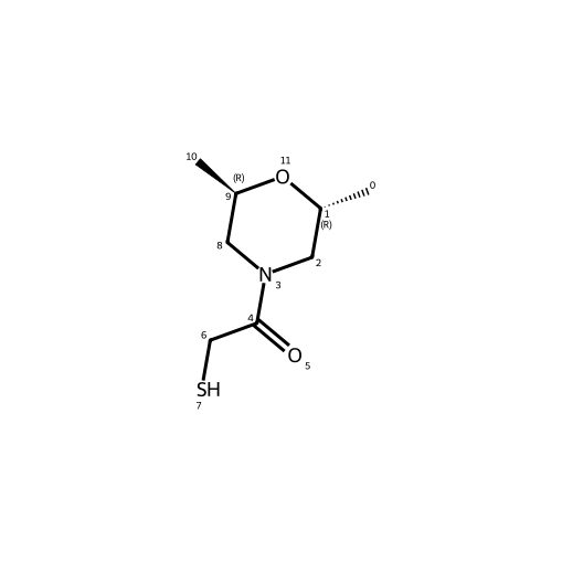 C[C@@H]1CN(C(=O)CS)C[C@@H](C)O1